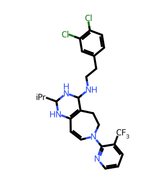 CC(C)C1NC2=C(CCN(c3ncccc3C(F)(F)F)C=C2)C(NCCc2ccc(Cl)c(Cl)c2)N1